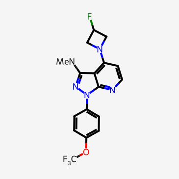 CNc1nn(-c2ccc(OC(F)(F)F)cc2)c2nccc(N3CC(F)C3)c12